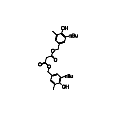 CCCCc1cc(COC(=O)CC(=O)OCc2cc(C)c(O)c(CCCC)c2)cc(C)c1O